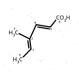 CC=C(C)C=CC(=O)O